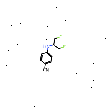 N#Cc1ccc(NC(CF)CF)cc1